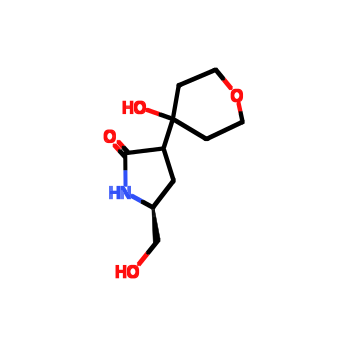 O=C1N[C@H](CO)CC1C1(O)CCOCC1